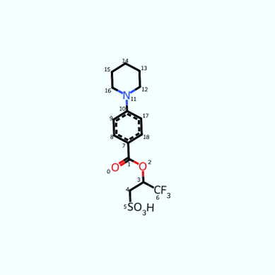 O=C(OC(CS(=O)(=O)O)C(F)(F)F)c1ccc(N2CCCCC2)cc1